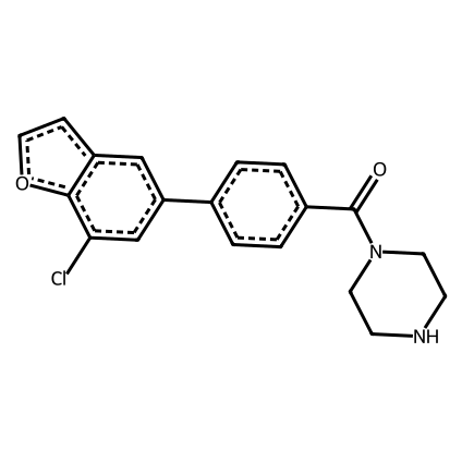 O=C(c1ccc(-c2cc(Cl)c3occc3c2)cc1)N1CCNCC1